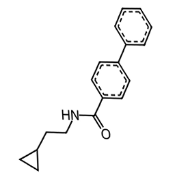 O=C(NCCC1CC1)c1ccc(-c2ccccc2)cc1